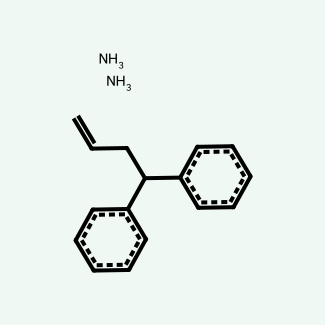 C=CCC(c1ccccc1)c1ccccc1.N.N